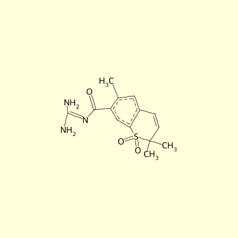 Cc1cc2c(cc1C(=O)N=C(N)N)S(=O)(=O)C(C)(C)C=C2